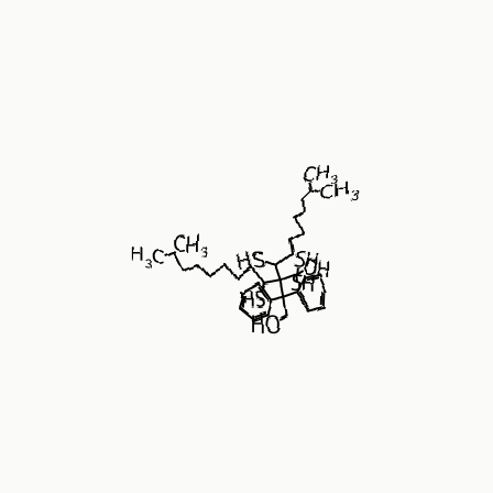 CC(C)CCCCCCC(S)C(C(S)CCCCCCC(C)C)(C(O)(S)S)C(CO)(c1ccccc1)c1ccccc1